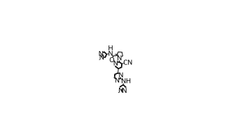 Cn1cc(NC(=O)[C@H]2CCCN2c2ncc(-c3ccnc(Nc4cnn(C)c4)n3)cc2C#N)cn1